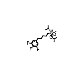 CO[Si](CCCCCc1cc(F)c(F)c(F)c1)(OC(C)C)OC(C)C